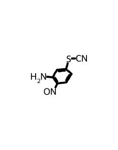 N#CSc1ccc(N=O)c(N)c1